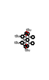 CC(C)(C)c1ccc2c(c1)-c1cc(C(C)(C)C)cc3c1B2c1c(N(C2=CC=CCC2)c2ccccc2)cc(N(c2ccccc2)c2ccccc2)c2c1N3c1cc(C(C)(C)C)cc3c1B2c1ccc(C(C)(C)C)cc1-3